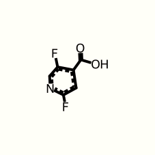 O=C(O)c1cc(F)ncc1F